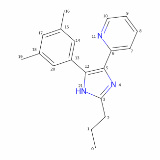 CCCc1nc(-c2ccccn2)c(-c2cc(C)cc(C)c2)[nH]1